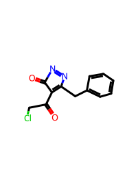 O=C(CCl)C1=C(Cc2ccccc2)N=NC1=O